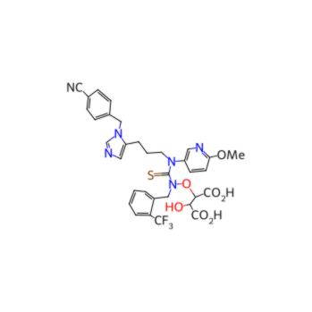 COc1ccc(N(CCCc2cncn2Cc2ccc(C#N)cc2)C(=S)N(Cc2ccccc2C(F)(F)F)OC(C(=O)O)C(O)C(=O)O)cn1